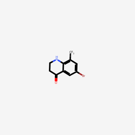 O=C1CCNc2c1cc(Br)cc2C(F)(F)F